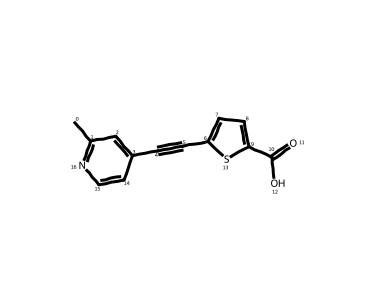 Cc1cc(C#Cc2ccc(C(=O)O)s2)ccn1